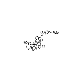 COCCN1CCN(C(=O)CCCc2cccc3nc(Cn4nc(-c5ccc(O)cc5)c5c(N)ncnc54)n(Cc4ccccc4Cl)c(=O)c23)CC1